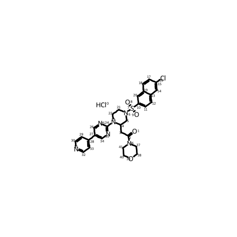 Cl.O=C(CC1CN(S(=O)(=O)c2ccc3cc(Cl)ccc3c2)CCN1c1ncc(-c2ccncc2)cn1)N1CCOCC1